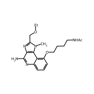 CCOCc1nc2c(N)nc3cccc(OCCCCNC(C)=O)c3c2n1C